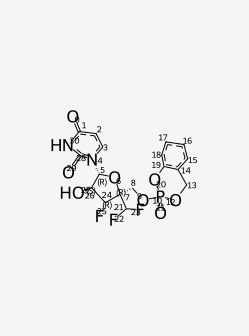 O=c1ccn([C@@H]2O[C@@](COP3(=O)OCc4ccccc4O3)(C(F)F)[C@H](F)[C@H]2O)c(=O)[nH]1